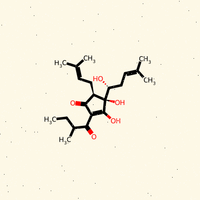 CCC(C)C(=O)C1=C(O)[C@@](O)([C@H](O)CC=C(C)C)[C@H](CC=C(C)C)C1=O